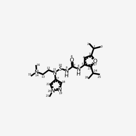 CC(C)c1cc(NC(=O)NSN(CCN(C)C)c2cnn(C)c2)c(C(C)C)o1